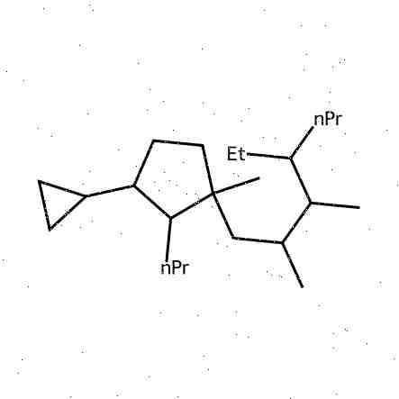 CCCC(CC)C(C)C(C)CC1(C)CCC(C2CC2)C1CCC